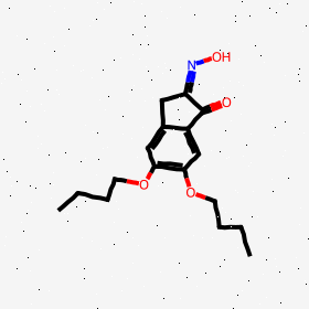 CCCCOc1cc2c(cc1OCCCC)C(=O)C(=NO)C2